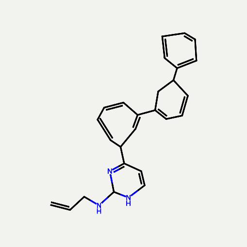 C=CCNC1N=C(C2C=CC=CC(C3=CC=CC(c4ccccc4)C3)=C2)C=CN1